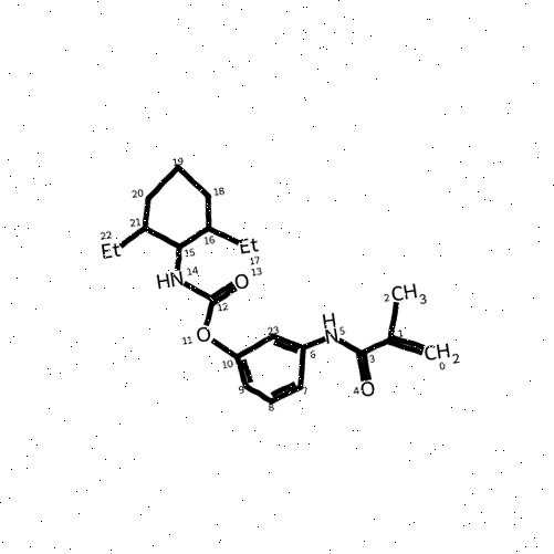 C=C(C)C(=O)Nc1cccc(OC(=O)NC2C(CC)CCCC2CC)c1